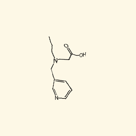 CCCN(CC(=O)O)Cc1cccnc1